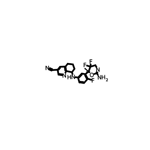 C[C@]1(c2cc(NC3CCCc4cc(C#N)cnc43)ccc2F)OC(N)=NCC1(F)F